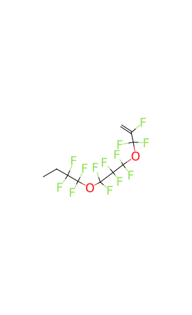 C=C(F)C(F)(F)OC(F)(F)C(F)(F)C(F)(F)OC(F)(F)C(F)(F)CC